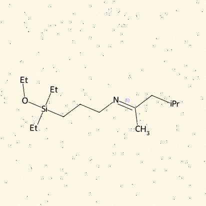 CCO[Si](CC)(CC)CCC/N=C(\C)CC(C)C